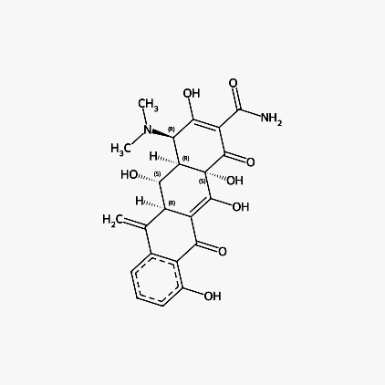 C=C1c2cccc(O)c2C(=O)C2=C(O)[C@]3(O)C(=O)C(C(N)=O)=C(O)[C@H](N(C)C)[C@@H]3[C@@H](O)[C@H]12